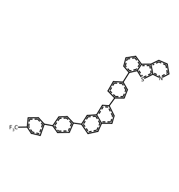 FC(F)(F)c1ccc(-c2ccc(-c3ccc4ccc(-c5ccc(-c6cccc7c6sc6ncccc67)cc5)cc4c3)cc2)cc1